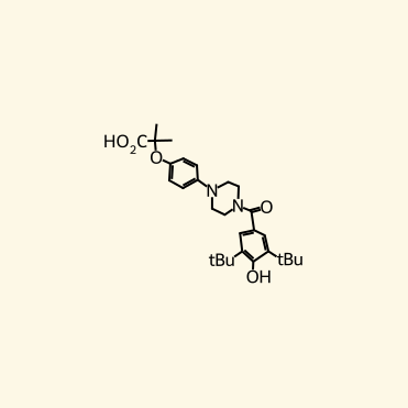 CC(C)(Oc1ccc(N2CCN(C(=O)c3cc(C(C)(C)C)c(O)c(C(C)(C)C)c3)CC2)cc1)C(=O)O